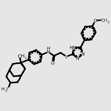 COc1ccc(-c2nnc(SCC(=O)Nc3ccc(C4(C)CC5CC(C)CC(C5)C4)cc3)[nH]2)cc1